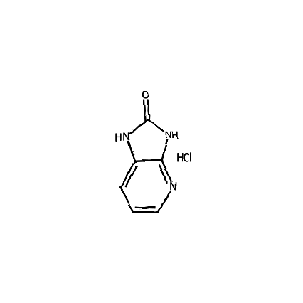 Cl.O=c1[nH]c2cccnc2[nH]1